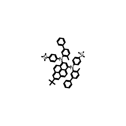 Cc1ccc(-c2ccccc2)cc1N(c1ccc([Si](C)(C)C)cc1)c1cc(N(c2ccc([Si](C)(C)C)cc2)c2cc(-c3ccccc3)ccc2C)c2ccc3cc(C(C)(C)C)cc4ccc1c2c43